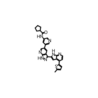 Cc1ccc(-c2ccnc3[nH]c(-c4n[nH]c5ncc(-c6cncc(NC(=O)C7CCCC7)c6)cc45)cc23)s1